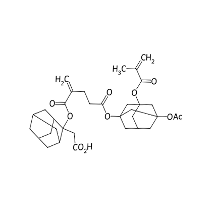 C=C(C)C(=O)OC12CC3CC(OC(C)=O)(CC(OC(=O)CCC(=C)C(=O)OC4(CC(=O)O)C5CC6CC(C5)CC4C6)(C3)C1)C2